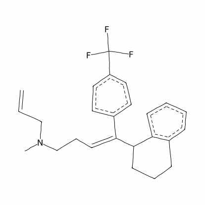 C=CCN(C)CCC=C(c1ccc(C(F)(F)F)cc1)C1CCCc2ccccc21